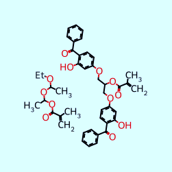 C=C(C)C(=O)OC(C)OC(C)OCC.C=C(C)C(=O)OC(COc1ccc(C(=O)c2ccccc2)c(O)c1)COc1ccc(C(=O)c2ccccc2)c(O)c1